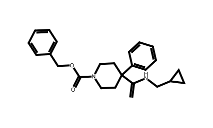 C=C(NCC1CC1)C1(c2ccccc2)CCN(C(=O)OCc2ccccc2)CC1